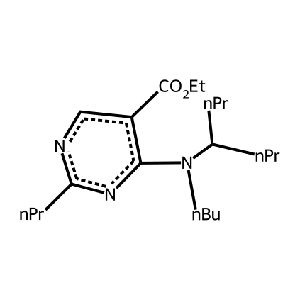 CCCCN(c1nc(CCC)ncc1C(=O)OCC)C(CCC)CCC